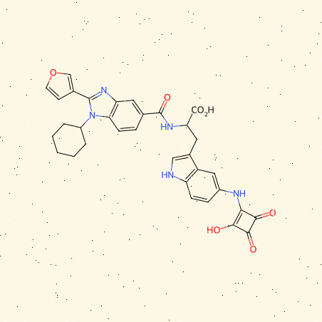 O=C(NC(Cc1c[nH]c2ccc(Nc3c(O)c(=O)c3=O)cc12)C(=O)O)c1ccc2c(c1)nc(-c1ccoc1)n2C1CCCCC1